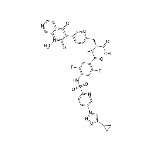 Cn1c(=O)n(-c2ccc(C[C@H](NC(=O)c3cc(F)c(NS(=O)(=O)c4ccc(-n5cc(C6CC6)nn5)cn4)cc3F)C(=O)O)nc2)c(=O)c2ccncc21